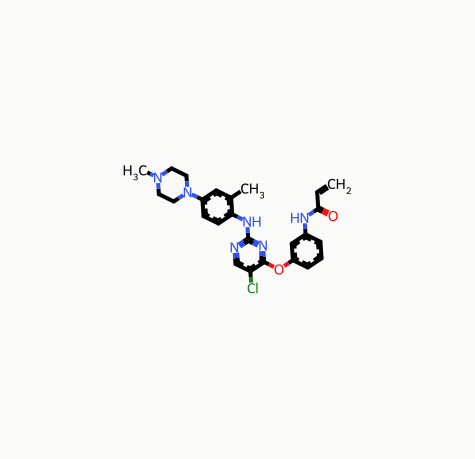 C=CC(=O)Nc1cccc(Oc2nc(Nc3ccc(N4CCN(C)CC4)cc3C)ncc2Cl)c1